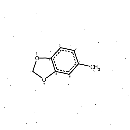 Cc1ccc2c(c1)OCO2